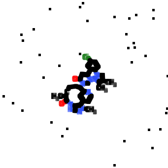 Cc1cn(-c2ccc(Cl)cc2-c2cc(=O)n(C3CCCC(C)C(=O)Nc4cnn(C)c4-c4ccnc3c4)cn2)nc1C